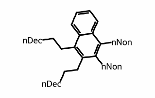 CCCCCCCCCCCCc1c(CCCCCCCCC)c(CCCCCCCCC)c2ccccc2c1CCCCCCCCCCCC